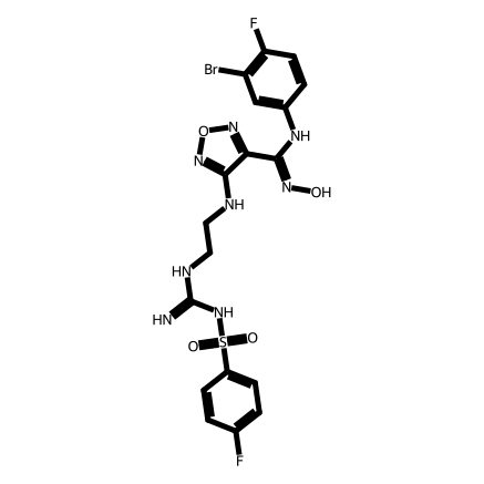 N=C(NCCNc1nonc1/C(=N/O)Nc1ccc(F)c(Br)c1)NS(=O)(=O)c1ccc(F)cc1